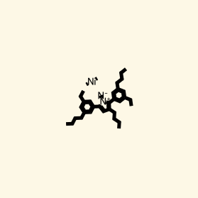 CCCCC1=C(c2cc(CC)cc(CCCC)c2)[N+](=[N-])C(c2cc(CC)cc(CCCC)c2)=C1.[CH3][Ni][CH3]